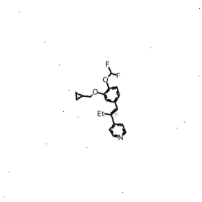 CC/C(=C\c1ccc(OC(F)F)c(OCC2CC2)c1)c1ccncc1